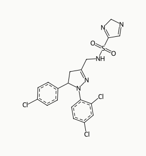 O=S(=O)(NCC1=NN(c2ccc(Cl)cc2Cl)C(c2ccc(Cl)cc2)C1)C1=NCN=C1